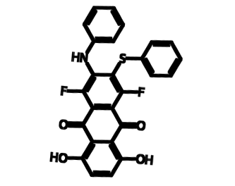 O=C1c2c(O)ccc(O)c2C(=O)c2c(F)c(Sc3ccccc3)c(Nc3ccccc3)c(F)c21